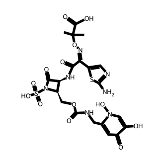 CC(C)(O/N=C(\C(=O)N[C@@H]1C(=O)N(S(=O)(=O)O)[C@@H]1COC(=O)NCc1cc(=O)c(O)cn1O)c1cnc(N)s1)C(=O)O